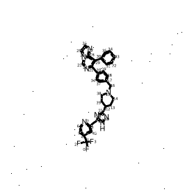 FC(F)(F)c1ccnc(-c2nc(C3CCN(Cc4ccc(-c5ncn6ccnc6c5-c5ccccc5)cc4)CC3)n[nH]2)c1